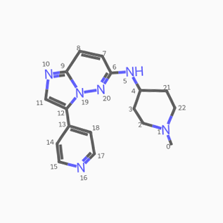 CN1CCC(Nc2ccc3ncc(-c4ccncc4)n3n2)CC1